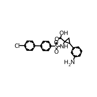 Nc1cccc(C2CC2(NS(=O)(=O)c2ccc(-c3ccc(Cl)cc3)cc2)C(=O)O)c1